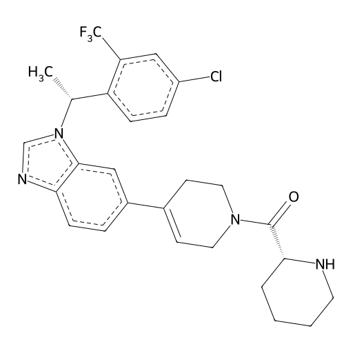 C[C@H](c1ccc(Cl)cc1C(F)(F)F)n1cnc2ccc(C3=CCN(C(=O)[C@H]4CCCCN4)CC3)cc21